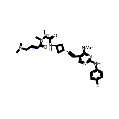 CNc1nc(Nc2ccc(F)cc2)ncc1C#C[C@H]1C[C@H](NC(=O)[C@H](C)N(C)C(=O)/C=C/CN(C)C)C1